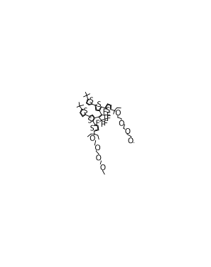 CCOCCOCCOCCOC(CC)(CC)c1ccc(-c2sc(-c3ccc(C(C)(C)C)s3)cc2C2=C(c3cc(-c4ccc(C(C)(C)C)s4)sc3-c3ccc(C(C)(CC)OCCOCCOCCOC)s3)C(F)(F)C(F)(F)C2(F)F)s1